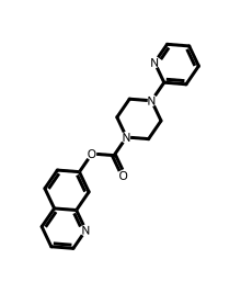 O=C(Oc1ccc2cccnc2c1)N1CCN(c2ccccn2)CC1